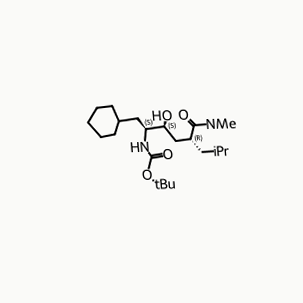 CNC(=O)[C@H](CC(C)C)C[C@H](O)[C@H](CC1CCCCC1)NC(=O)OC(C)(C)C